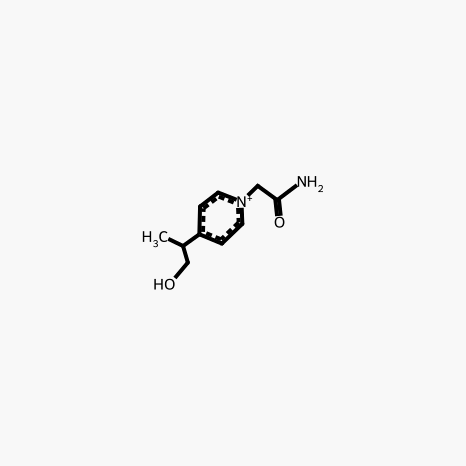 CC(CO)c1cc[n+](CC(N)=O)cc1